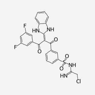 N=C(CCl)NS(=O)(=O)c1cccc(C(=O)C(C(=O)c2cc(F)cc(F)c2)=C2Nc3ccccc3N2)c1